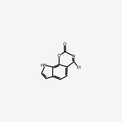 CCc1nc(=O)oc2c1ccc1cc[nH]c12